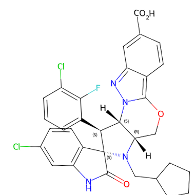 O=C(O)c1ccc2c3n(nc2c1)[C@@H]1[C@H](CO3)N(CC2CCCC2)[C@@]2(C(=O)Nc3cc(Cl)ccc32)[C@H]1c1cccc(Cl)c1F